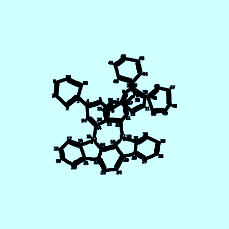 c1ccc(-c2cc(-c3ccccc3)cc(-n3c4ccccc4c4ccc5c6ccccc6n(-c6cccc(N(c7ccccc7)c7ccccc7)c6)c5c43)c2)cc1